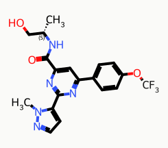 C[C@@H](CO)NC(=O)c1cc(-c2ccc(OC(F)(F)F)cc2)nc(-c2ccnn2C)n1